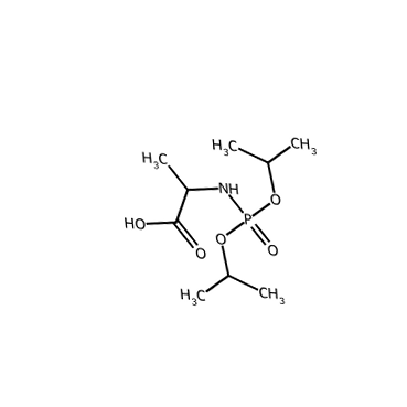 CC(C)OP(=O)(NC(C)C(=O)O)OC(C)C